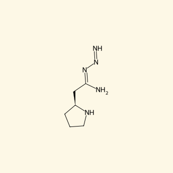 N=N/N=C(\N)C[C@@H]1CCCN1